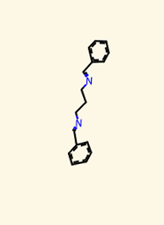 C(=NCCCN=Cc1ccccc1)c1ccccc1